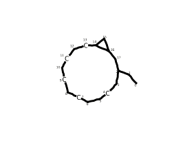 CCC1CCCCCCCCCCCC2CC2C1